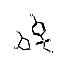 Cc1ccc(S(=O)(=O)[N-]Cl)cc1.OC1CCOC1.[Na+]